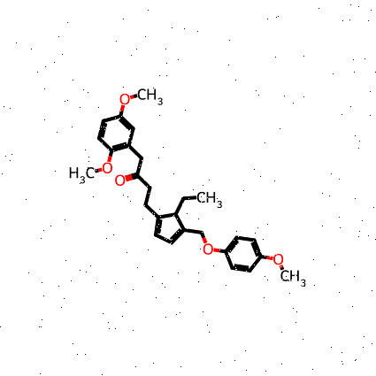 CCC1C(CCC(=O)Cc2cc(OC)ccc2OC)=CC=C1COc1ccc(OC)cc1